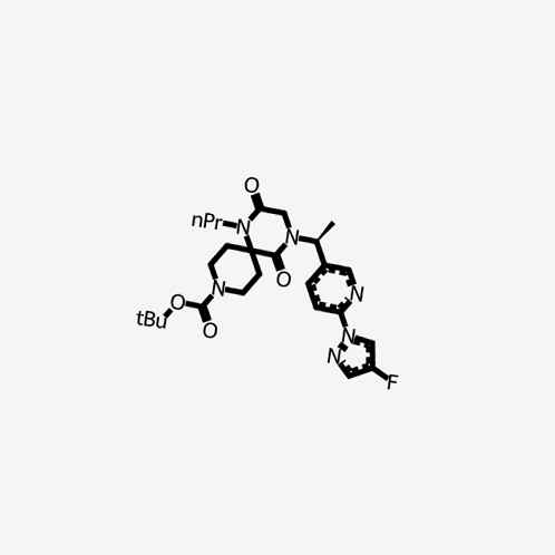 CCCN1C(=O)CN([C@@H](C)c2ccc(-n3cc(F)cn3)nc2)C(=O)C12CCN(C(=O)OC(C)(C)C)CC2